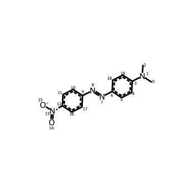 CN(C)c1ccc(N=Nc2ccc([N+](=O)[O-])cc2)cc1